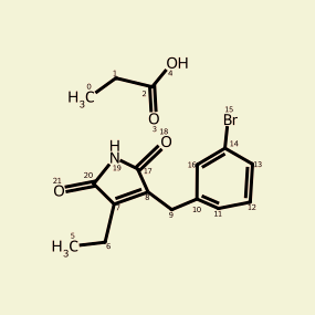 CCC(=O)O.CCC1=C(Cc2cccc(Br)c2)C(=O)NC1=O